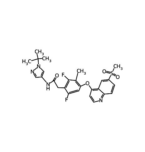 Cc1c(Oc2ccnc3ccc(S(C)(=O)=O)cc23)cc(F)c(CC(=O)Nc2cnn(C(C)(C)C)c2)c1F